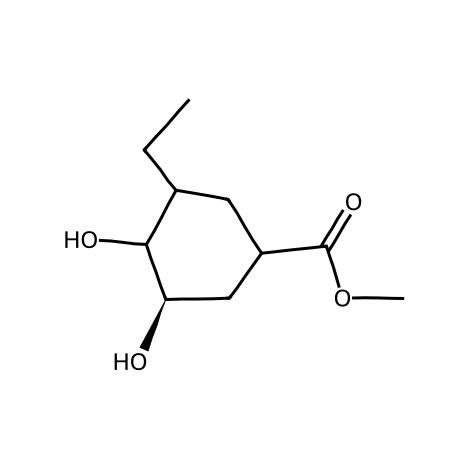 CCC1CC(C(=O)OC)C[C@@H](O)C1O